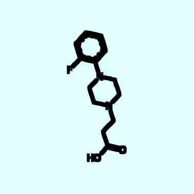 O=C(O)CCN1CCN(c2ccccc2F)CC1